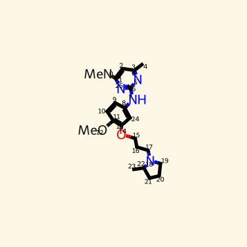 CNc1cc(C)nc(Nc2ccc(OC)c(OCCCN3CCCC3C)c2)n1